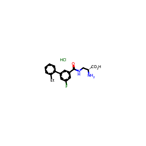 CCc1ccccc1-c1cc(F)cc(C(=O)NC[C@@H](N)C(=O)O)c1.Cl